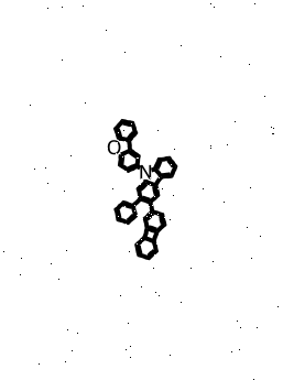 C1=CC2c3ccc(-c4cc5c6ccccc6n(-c6ccc7oc8ccccc8c7c6)c5cc4-c4ccccc4)cc3C2C=C1